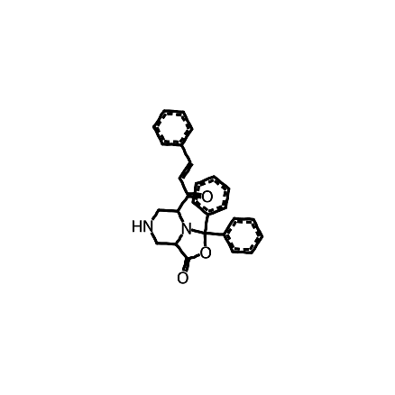 O=C(C=Cc1ccccc1)C1CNCC2C(=O)OC(c3ccccc3)(c3ccccc3)N12